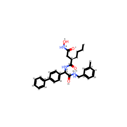 CCCC[C@H](CC(=O)NO)C(=O)NC(C(=O)NCc1cccc(C)c1)c1ccc(-c2ccccc2)cc1